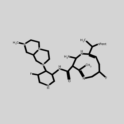 CCCCCC(C)/C1=C/CC(F)C/N=C(\C)C(C(=O)NC2CNCC(F)C2N2CCN3CCN(C)CC3C2)C(N)N1